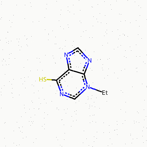 CCn1cnc(S)c2ncnc1-2